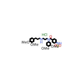 COc1ccc(CCCNCCCN(C(=O)c2ccc(NS(C)(=O)=O)cc2)c2ccc(OC)c(OC)c2)cc1OC.Cl